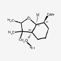 [3H]O[C@@]12CCC[C@H](OC)[C@@H]1OC(C)C2(C)C